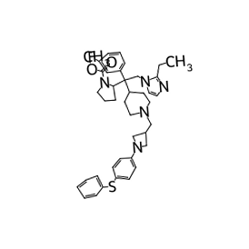 CCc1nccn1CC(c1cccc(F)c1)(C1CCN(CC2CN(c3ccc(Sc4ccccc4)cc3)C2)CC1)C1CCCN1C(=O)OC